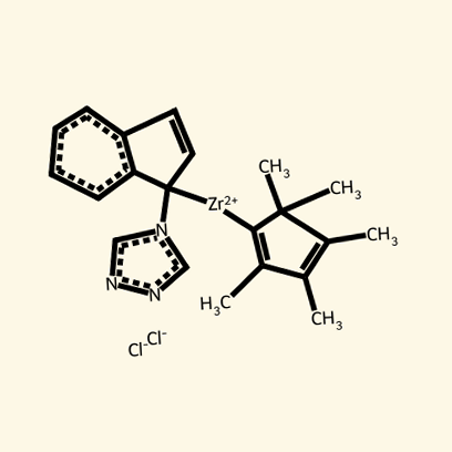 CC1=C(C)C(C)(C)[C]([Zr+2][C]2(n3cnnc3)C=Cc3ccccc32)=C1C.[Cl-].[Cl-]